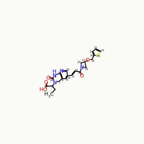 CCC(C(=O)O)N1Cc2cc(/C=C/C(=O)N3CC(OCc4cccs4)C3)cnc2NC1=O